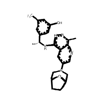 Cc1nnc(N[C@H](C)c2cc(O)cc(C(F)(F)F)c2)c2cc(N3CC4CCC(C3)O4)cnc12